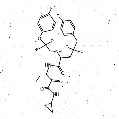 CC[C@H](NC(=O)[C@H](CC(F)(F)Cc1ccc(F)cc1)NCC(F)(F)Oc1ccc(F)cc1)C(=O)C(=O)NC1CC1